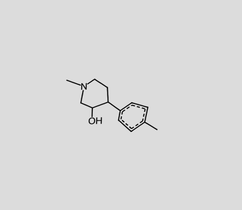 Cc1ccc(C2CCN(C)CC2O)cc1